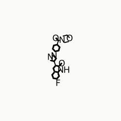 O=C(c1ccc(-n2cc(-c3cc4ccc(F)cc4[nH]c3=O)cn2)cc1)N1CCOCC1